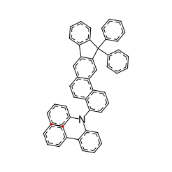 c1ccc(-c2ccccc2N(c2ccccc2)c2cccc3c2ccc2cc4c(cc23)C(c2ccccc2)(c2ccccc2)c2ccccc2-4)cc1